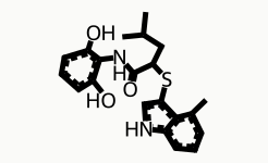 Cc1cccc2[nH]cc(SC(CC(C)C)C(=O)Nc3c(O)cccc3O)c12